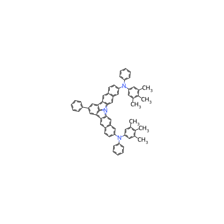 Cc1cc(N(c2ccccc2)c2ccc3cc4c5cc(-c6ccccc6)cc6c7cc8ccc(N(c9ccccc9)c9cc(C)c(C)c(C)c9)cc8cc7n(c4cc3c2)c56)cc(C)c1C